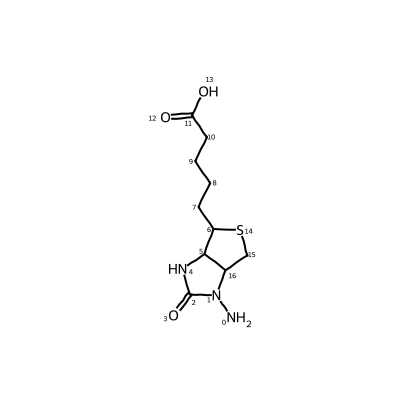 NN1C(=O)NC2C(CCCCC(=O)O)SCC21